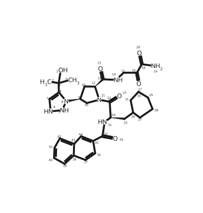 CC(C)(O)C1=CNNN1[C@H]1C[C@@H](C(=O)NCC(=O)C(N)=O)N(C(=O)[C@@H](CC2CCCCC2)NC(=O)c2ccc3ccccc3c2)C1